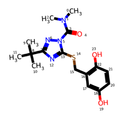 CN(C)C(=O)n1nc(C(C)(C)C)nc1SCc1cc(O)ccc1O